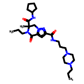 CCCN1CCN(CCCNC(=O)c2cc3n(n2)CC(C)(C(=O)NC2CCCC2)N(CCC)C3=O)CC1